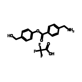 NCc1ccc(C(=O)Oc2ccc(CO)cc2)cc1.O=C(O)C(F)(F)F